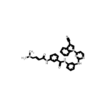 CN(C)CC=CC(=O)Nc1cccc(C(=O)Nc2cccc(Nc3nccc(-n4cc(C#N)c5ccccc54)n3)c2)c1